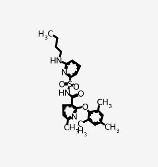 CCCCNc1cccc(S(=O)(=O)NC(=O)c2ccc(C)nc2Oc2c(C)cc(C)cc2C)n1